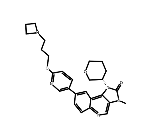 Cn1c(=O)n([C@H]2CCCOC2)c2c3cc(-c4ccc(OCCCN5CCC5)nc4)ccc3ncc21